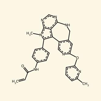 C=CC(=O)Nc1ccc(-c2c3c4c(ncnc4n2C)NCc2cc(Oc4cccc(C)n4)ncc2-3)cc1